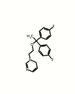 CC(OCCN1C=NC=CC1)(c1ccc(F)cc1)c1ccc(F)cc1